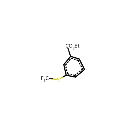 CCOC(=O)c1cccc(SC(F)(F)F)c1